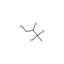 [CH2]C(Cl)(Cl)C(Cl)[CH]Cl